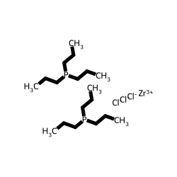 CCCP(CCC)CCC.CCCP(CCC)CCC.[Cl-].[Cl-].[Cl-].[Zr+3]